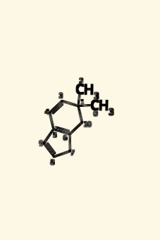 CC1(C)C=CC2=C(CC=C2)C1